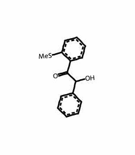 CSc1ccccc1C(=O)C(O)c1ccccc1